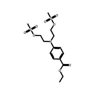 CCOC(=O)c1ccc(N(CCOS(C)(=O)=O)CCOS(C)(=O)=O)cc1